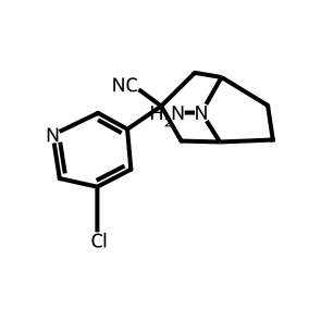 N#CC1(c2cncc(Cl)c2)CC2CCC(C1)N2N